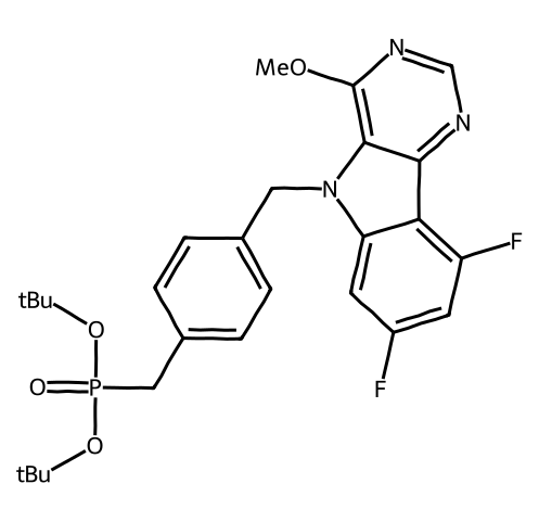 COc1ncnc2c3c(F)cc(F)cc3n(Cc3ccc(CP(=O)(OC(C)(C)C)OC(C)(C)C)cc3)c12